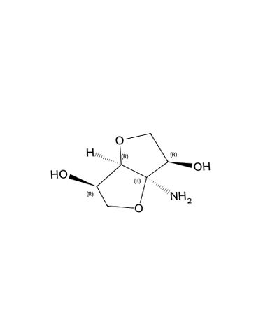 N[C@]12OC[C@@H](O)[C@H]1OC[C@H]2O